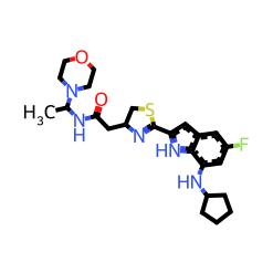 CC(NC(=O)CC1CSC(c2cc3cc(F)cc(NC4CCCC4)c3[nH]2)=N1)N1CCOCC1